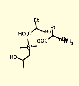 CC(O)C[N+](C)(C)C.CCCCC(CC)C(=O)O.CCCCC(CC)C(=O)[O-].N